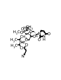 COC[C@@H](O[C@@H](COP(OCCC#N)N(C(C)C)C(C)C)OCP(=O)(OC)OC)n1ccc(=O)[nH]c1=O